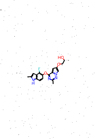 Cc1nc(Oc2ccc3[nH]c(C)cc3c2F)c2cc(OC[C@@H](C)O)cn2n1